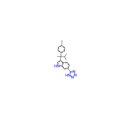 CC(C)C(C)(c1ccc(I)cc1)c1c[nH]c2cc(-c3nnn[nH]3)ccc12